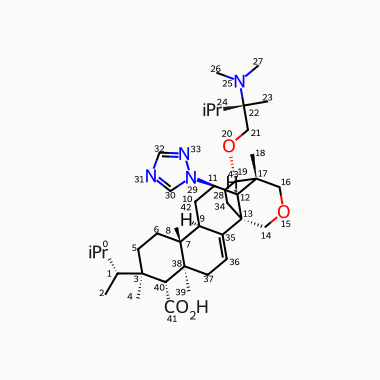 CC(C)[C@@H](C)[C@@]1(C)CC[C@]2(C)[C@H]3CC[C@@H]4[C@@]5(COC[C@@]4(C)[C@@H](OC[C@](C)(C(C)C)N(C)C)[C@H](n4cncn4)C5)C3=CC[C@@]2(C)[C@@H]1C(=O)O